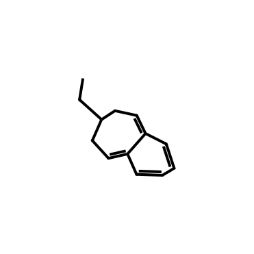 CCC1CC=c2ccccc2=CC1